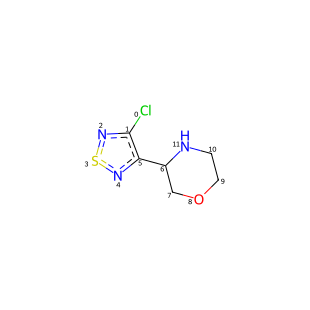 Clc1nsnc1C1COCCN1